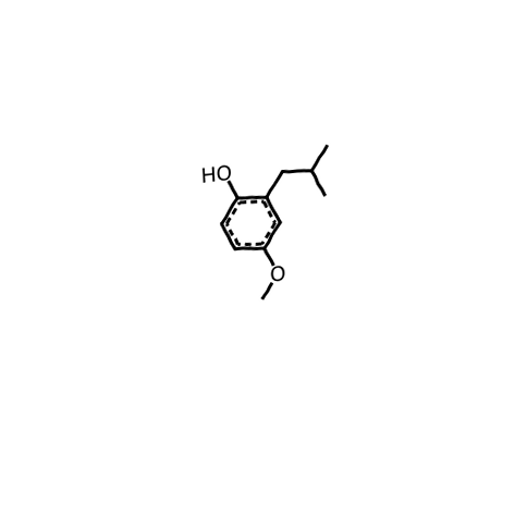 COc1ccc(O)c(CC(C)C)c1